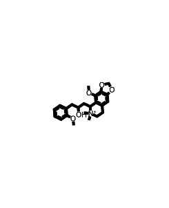 COc1ccccc1CC(O)CC1c2c(cc3c(c2OC)OCO3)CC[N+]1(C)C